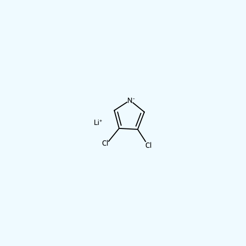 Clc1c[n-]cc1Cl.[Li+]